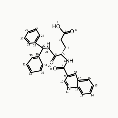 O=C(O)CC[C@H](NC(=O)c1cnc2ccccc2c1)C(=O)NC(c1ccccc1)c1ccccc1